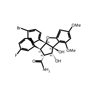 COc1cc(OC)c2c(c1)O[C@@]1(c3ccc(Br)cc3)[C@H](c3cccc(F)c3)[C@@H](C(N)=O)[C@@H](O)[C@@]21O